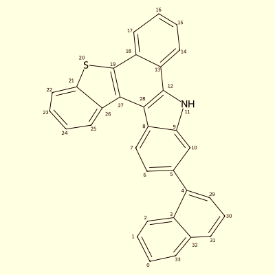 c1ccc2c(-c3ccc4c(c3)[nH]c3c5ccccc5c5sc6ccccc6c5c43)cccc2c1